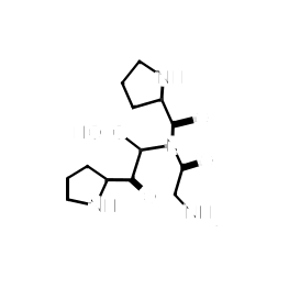 NCC(=O)N(C(=O)C1CCCN1)C(C(=O)O)C(=O)C1CCCN1